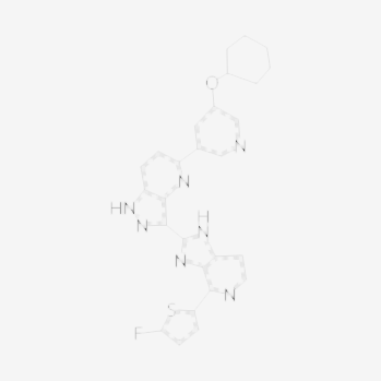 Fc1ccc(-c2nccc3[nH]c(-c4n[nH]c5ccc(-c6cncc(OC7CCCCC7)c6)nc45)nc23)s1